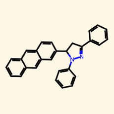 c1ccc(C2=NN(c3ccccc3)C(c3ccc4cc5ccccc5cc4c3)C2)cc1